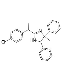 CC(C1=NC(C)(c2ccccc2)C(c2ccccc2)N1)c1ccc(Cl)cc1